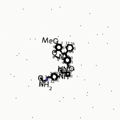 COc1ccc2c(c1)OCCn1c-2c(C2CCCCC2)c2ccc(C(=O)NC3(C(=O)Nc4ccc(/C=C/C(N)=O)cc4)CCC3)cc21